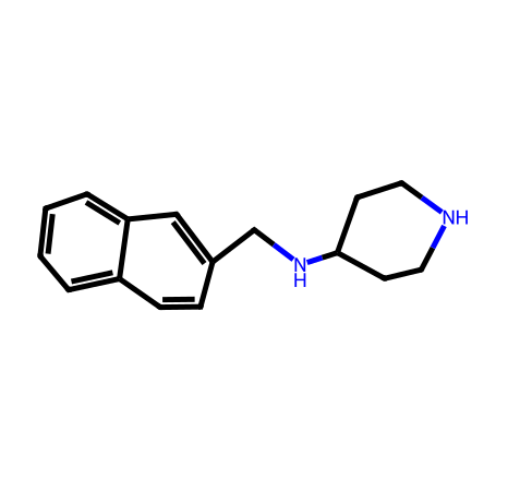 c1ccc2cc(CNC3CCNCC3)ccc2c1